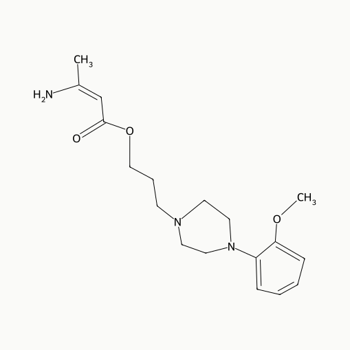 COc1ccccc1N1CCN(CCCOC(=O)/C=C(/C)N)CC1